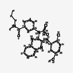 CCCN(C)C(=O)c1cccc(N(c2nc3ccccc3nc2Nc2cc(OC)ccc2Cl)[SH](=O)=O)c1